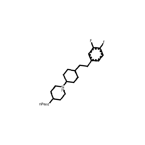 CCCCCC1CC[SiH](C2CCC(CCc3ccc(F)c(F)c3)CC2)CC1